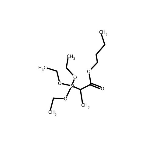 CCCCOC(=O)C(C)[Si](OCC)(OCC)OCC